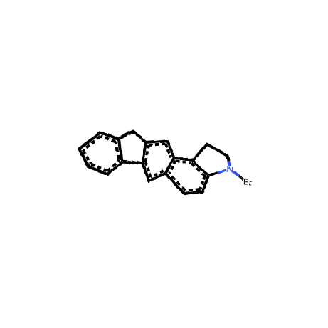 CCN1CCc2c1ccc1cc3c(cc21)Cc1ccccc1-3